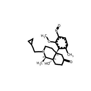 COc1c(N=O)ccc(C)c1[C@]12CCN(CC3CC3)[C@H](C)[C@]1(O)CCC(=O)C2